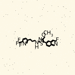 COCc1nc(NCCCc2ccc(C(F)(F)F)nc2)sc1-c1ccc2cnc(F)cc2c1